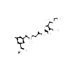 CCOC(=O)c1sc(NC(=O)CCNC(=O)c2cc(O)cc(C(=O)OC)c2)nc1C